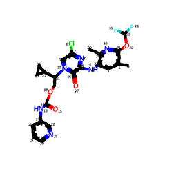 Cc1cc(Nc2nc(Cl)cn(C(COC(=O)Nc3cccnc3)C3CC3)c2=O)c(C)nc1OC(F)F